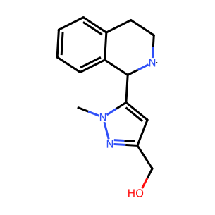 Cn1nc(CO)cc1C1[N]CCc2ccccc21